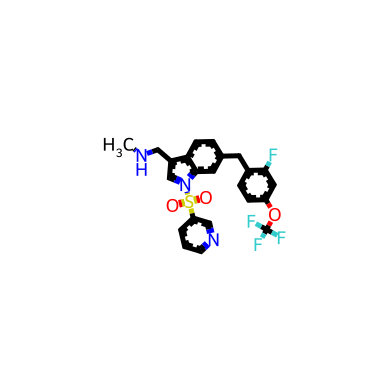 CNCc1cn(S(=O)(=O)c2cccnc2)c2cc(Cc3ccc(OC(F)(F)F)cc3F)ccc12